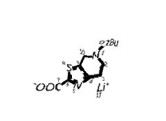 CC(C)(C)N1CCc2nc(C(=O)[O-])sc2C1.[Li+]